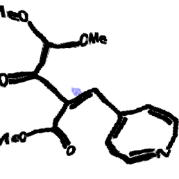 COC(=O)/C(=C\c1ccncc1)C(=O)C(OC)OC